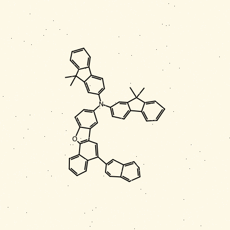 CC1(C)c2ccccc2-c2ccc(N(c3ccc4c(c3)C(C)(C)c3ccccc3-4)c3ccc4oc5c6ccccc6c(-c6ccc7ccccc7c6)cc5c4c3)cc21